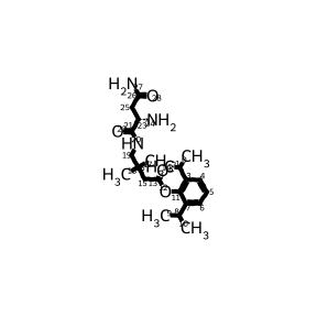 CC(C)c1cccc(C(C)C)c1OC(=O)CC(C)(C)CNC(=O)[C@@H](N)CC(N)=O